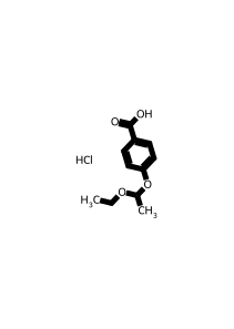 CCOC(C)Oc1ccc(C(=O)O)cc1.Cl